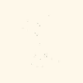 C1=CCC2Oc3c(ccc4c5ccc6ccccc6c5n(-c5ccc(-c6cc(-c7ccccc7)nc(-c7ccccc7)n6)cc5)c34)OC2=C1